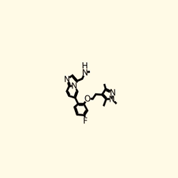 CNCc1cnc2ccc(-c3ccc(F)cc3OCCc3c(C)nn(C)c3C)cn12